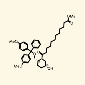 COC(=O)CCCCCCCCCCC(=O)N1C[C@H](O)CC[C@@H]1COC(c1ccccc1)(c1ccc(OC)cc1)c1ccc(OC)cc1